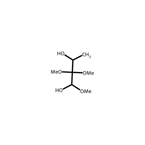 COC(O)C(OC)(OC)C(C)O